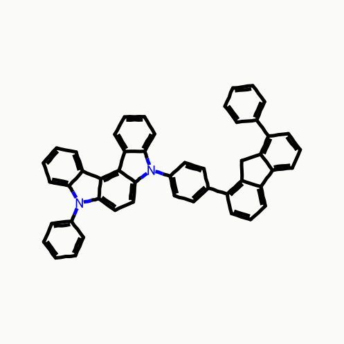 c1ccc(-c2cccc3c2Cc2c(-c4ccc(-n5c6ccccc6c6c7c8ccccc8n(-c8ccccc8)c7ccc65)cc4)cccc2-3)cc1